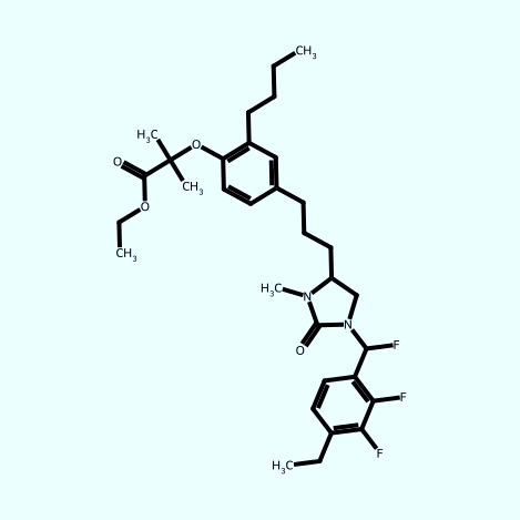 CCCCc1cc(CCCC2CN(C(F)c3ccc(CC)c(F)c3F)C(=O)N2C)ccc1OC(C)(C)C(=O)OCC